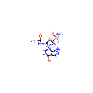 CC(=O)Nc1nnc(S(N)(=O)=O)s1.Oc1ncnc2[nH]ncc12